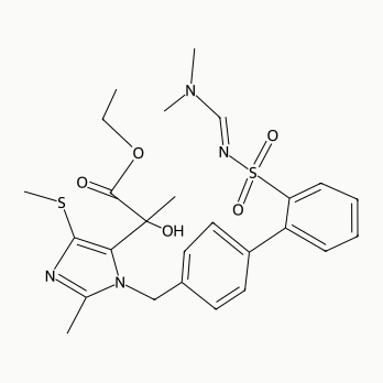 CCOC(=O)C(C)(O)c1c(SC)nc(C)n1Cc1ccc(-c2ccccc2S(=O)(=O)N=CN(C)C)cc1